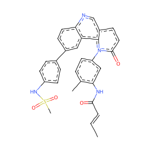 C/C=C/C(=O)Nc1cc(-n2c(=O)ccc3cnc4ccc(-c5ccc(NS(C)(=O)=O)cc5)cc4c32)ccc1C